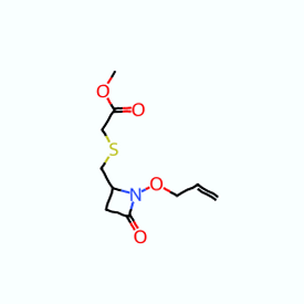 C=CCON1C(=O)CC1CSCC(=O)OC